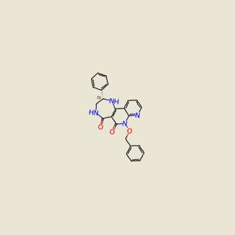 O=C1NC[C@H](c2ccccc2)Nc2c1c(=O)n(OCc1ccccc1)c1ncccc21